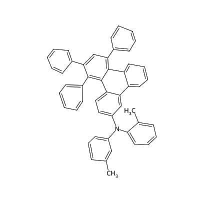 Cc1cccc(N(c2ccc3c(c2)c2ccccc2c2c(-c4ccccc4)cc(-c4ccccc4)c(-c4ccccc4)c32)c2ccccc2C)c1